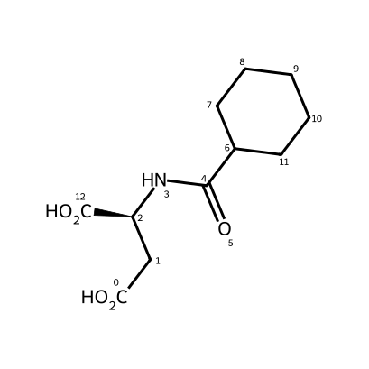 O=C(O)C[C@H](NC(=O)C1CCCCC1)C(=O)O